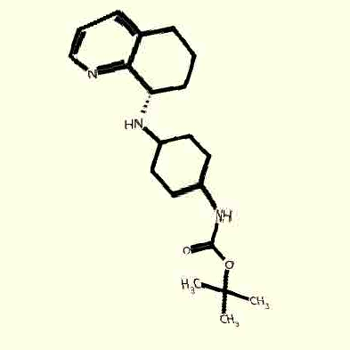 CC(C)(C)OC(=O)NC1CCC(N[C@H]2CCCc3cccnc32)CC1